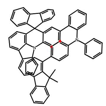 CC1(C)c2ccccc2-c2cccc(-c3ccc(N(c4ccccc4)c4ccccc4-c4ccc5c(c4)C4(c6ccccc6-c6ccccc64)c4cccc6c7ccccc7n-5c46)cc3)c21